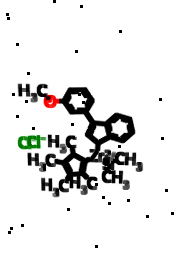 COc1cccc(C2=C[CH]([Zr+2]([C]3=C(C)C(C)=C(C)C3C)=[Si](C)C)c3ccccc32)c1.[Cl-].[Cl-]